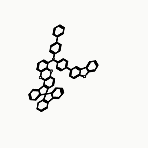 c1cc2c(cc#1)C1(C3=C2C=CCC3)c2ccccc2-c2c1ccc1c2Oc2cccc(N(c3ccc(-c4ccccc4)cc3)c3ccc(-c4ccc5oc6ccccc6c5c4)cc3)c2O1